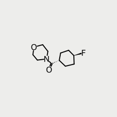 O=C([C@H]1CC[C@H](F)CC1)N1CCOCC1